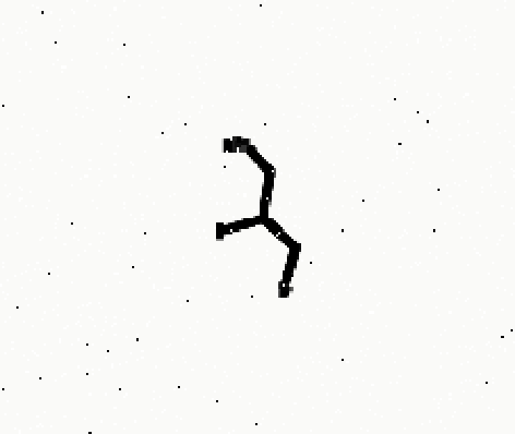 CCCCC(I)C[S]